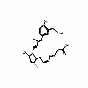 COCc1cc(CC(O)/C=C/[C@@H]2[C@@H](C/C=C\CCCC(=O)O)[C@H](Cl)C[C@H]2O)ccc1O